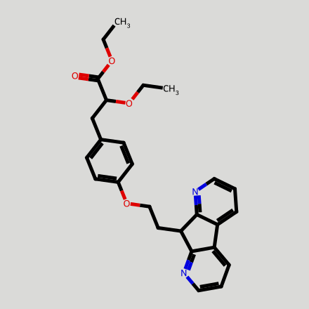 CCOC(=O)C(Cc1ccc(OCCC2c3ncccc3-c3cccnc32)cc1)OCC